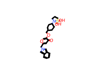 O=c1cc(Cn2cc3ccccc3c2)occ1OCC1CCC(N2CCCS2(O)O)CC1